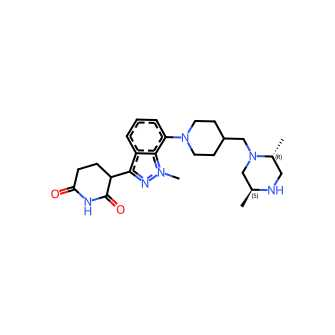 C[C@@H]1CN[C@@H](C)CN1CC1CCN(c2cccc3c(C4CCC(=O)NC4=O)nn(C)c23)CC1